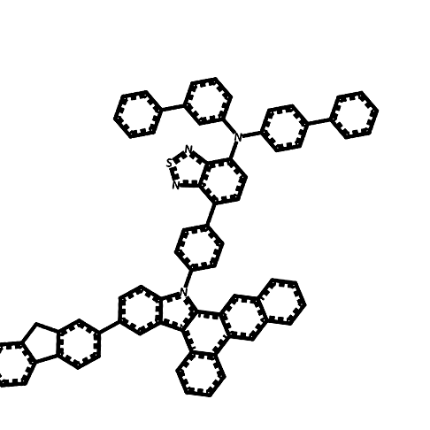 c1ccc(-c2ccc(N(c3cccc(-c4ccccc4)c3)c3ccc(-c4ccc(-n5c6ccc(-c7ccc8c(c7)Cc7ccccc7-8)cc6c6c7ccccc7c7cc8ccccc8cc7c65)cc4)c4nsnc34)cc2)cc1